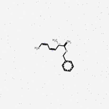 C=C(OCc1ccccc1)[C@@H](C)/C=C\C=C/N